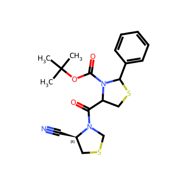 CC(C)(C)OC(=O)N1C(C(=O)N2CSC[C@H]2C#N)CSC1c1ccccc1